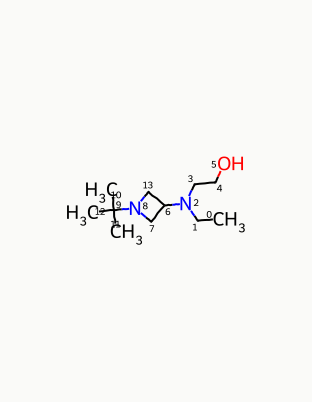 CCN(CCO)C1CN(C(C)(C)C)C1